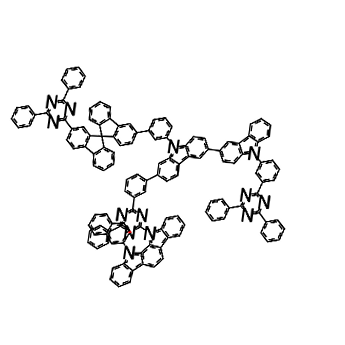 c1ccc(-c2nc(-c3ccccc3)nc(-c3cccc(-n4c5ccccc5c5cc(-c6ccc7c(c6)c6ccc(-c8cccc(-c9nc(-c%10ccccc%10)nc(-n%10c%11ccccc%11c%11ccc%12c%13ccccc%13n(-c%13ccc%14ccccc%14c%13)c%12c%11%10)n9)c8)cc6n7-c6cccc(-c7ccc8c(c7)-c7ccccc7C87c8ccccc8-c8ccc(-c9nc(-c%10ccccc%10)nc(-c%10ccccc%10)n9)cc87)c6)ccc54)c3)n2)cc1